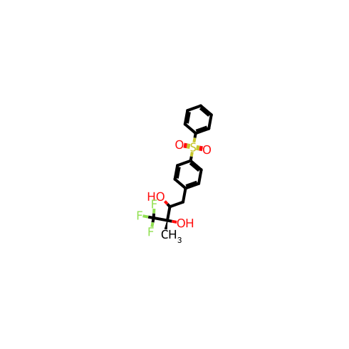 C[C@](O)(C(O)Cc1ccc(S(=O)(=O)c2ccccc2)cc1)C(F)(F)F